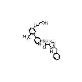 Cc1ccc(OCCO)cc1-c1ccnc(NC(=O)c2nnc(Cc3ccccc3)[nH]2)c1